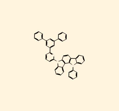 c1ccc(-c2cc(-c3ccccc3)cc(-c3cccc(-n4c5ccccc5c5c4ccc4c6ccccc6n(-c6ccccc6)c45)n3)c2)cc1